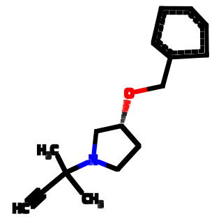 C#CC(C)(C)N1CC[C@@H](OCc2ccccc2)C1